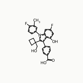 Cc1cc(-n2c(C3(CO)CCC3)c(-c3ccc(C(=O)O)cc3)c3c(O)cc(F)cc32)ccc1F